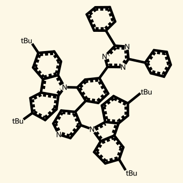 CC(C)(C)c1ccc2c(c1)c1cc(C(C)(C)C)ccc1n2-c1cnccc1-c1ccc(-c2nc(-c3ccccc3)nc(-c3ccccc3)n2)cc1-n1c2ccc(C(C)(C)C)cc2c2cc(C(C)(C)C)ccc21